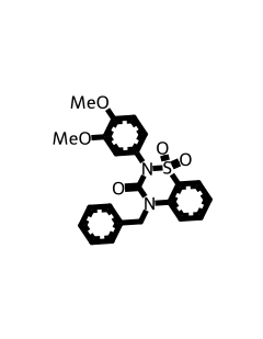 COc1ccc(N2C(=O)N(Cc3ccccc3)c3ccccc3S2(=O)=O)cc1OC